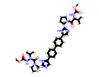 COC(=O)N[C@H](C(=O)N1CCC[C@H]1c1ncc(-c2ccc(-c3ccc(-c4cnc([C@@H]5SCCN5C(=O)N(NC(=O)OC)C(C)C)[nH]4)cc3)cc2)[nH]1)C(C)C